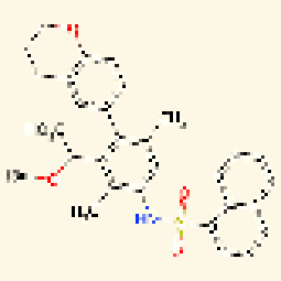 Cc1cc(NS(=O)(=O)c2cccc3ccccc23)c(C)c(C(OC(C)(C)C)C(=O)O)c1-c1ccc2c(c1)CCCO2